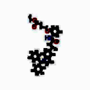 CCOC(=O)CCCOc1ccccc1NC(=O)C=C(C)c1ccc2c(ccn2C(c2ccccc2)c2ccccc2)c1